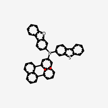 c1ccc(-c2cccc3cccc(-c4cccc(N(c5ccc6c(c5)oc5ccccc56)c5ccc6c(c5)sc5ccccc56)c4)c23)cc1